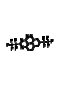 FC(F)(F)C(F)(F)c1cc2ccc3nc(C(F)(F)C(F)(F)F)nc4nnc(c1)c2c34